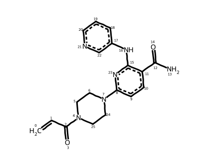 C=CC(=O)N1CCN(c2ccc(C(N)=O)c(Nc3cccnc3)n2)CC1